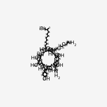 CCC(C)CC(C)CCCCCCCCC(=O)NC1C[C@@H](O)C(NCCOCCOCCN)NC(=O)C2[C@@H](O)CCN2C(=O)C([C@H](O)CCN)NC(=O)C([C@H](O)[C@@H](O)c2ccc(O)cc2)NC(=O)C2C[C@@H](O)CN2C(=O)C([C@@H](C)O)NC1=O